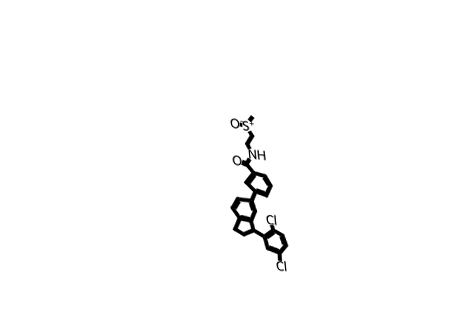 C[S+]([O-])CCNC(=O)c1cccc(-c2ccc3c(c2)C(c2cc(Cl)ccc2Cl)CC3)c1